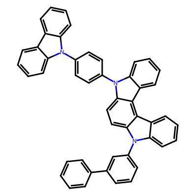 c1ccc(-c2cccc(-n3c4ccccc4c4c5c6ccccc6n(-c6ccc(-n7c8ccccc8c8ccccc87)cc6)c5ccc43)c2)cc1